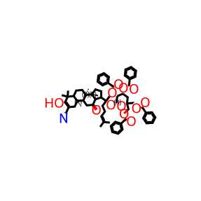 CC(C)=CCCC(C)(O[C@@H]1OC(COC(=O)c2ccccc2)(COC(=O)c2ccccc2)CC(OC(=O)c2ccccc2)C1OC(=O)c1ccccc1)C1CC[C@]2(C)C1C(=O)CC1[C@@]3(C)CC(C#N)=C(O)C(C)(C)C3CC[C@]12C